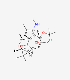 CC1=C[C@]23C(O)[C@@H](C=C4COC(C)(C)O[C@H]4[C@]2(O)[C@H]1NI)[C@H]1[C@@H](C[C@H]3C)C1(C)C